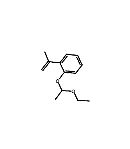 C=C(C)c1ccccc1OC(C)OCC